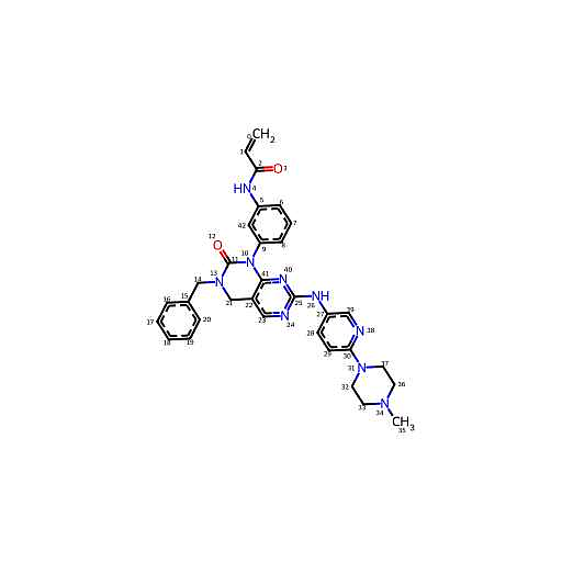 C=CC(=O)Nc1cccc(N2C(=O)N(Cc3ccccc3)Cc3cnc(Nc4ccc(N5CCN(C)CC5)nc4)nc32)c1